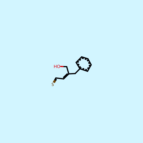 OCC(=CC=S)Cc1ccccc1